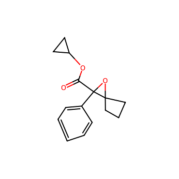 O=C(OC1CC1)C1(c2ccccc2)OC12CCC2